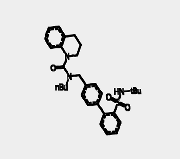 CCCCN(Cc1ccc(-c2ccccc2S(=O)(=O)NC(C)(C)C)cc1)C(=O)N1CCCc2ccccc21